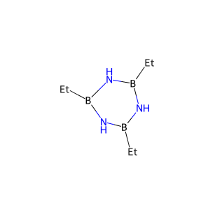 CCB1NB(CC)NB(CC)N1